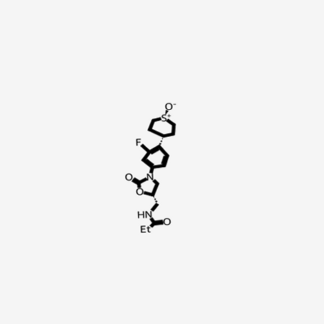 CCC(=O)NC[C@H]1CN(c2ccc([C@H]3CC[S@+]([O-])CC3)c(F)c2)C(=O)O1